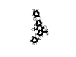 O=C(c1ccc(Oc2ccccc2)cc1CCl)c1ccc(Oc2ccccc2)cc1CCl